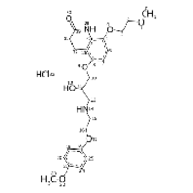 COCCOc1ccc(OCC(O)CNCCOc2ccc(OC)cc2)c2c1NC(=O)CC2.Cl